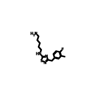 Cc1cc(Cc2nsc(NCCCCCN)n2)ccc1F